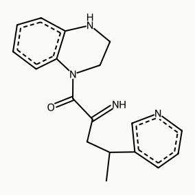 CC(CC(=N)C(=O)N1CCNc2ccccc21)c1cccnc1